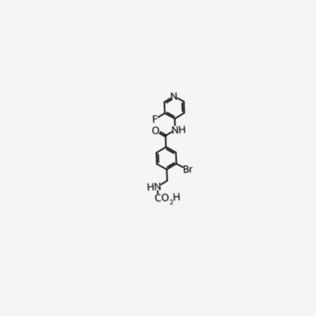 O=C(O)NCc1ccc(C(=O)Nc2ccncc2F)cc1Br